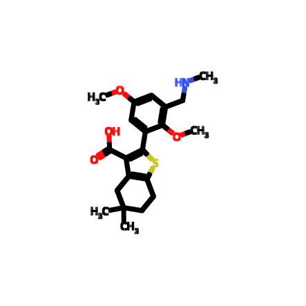 CNCc1cc(OC)cc(-c2sc3c(c2C(=O)O)CC(C)(C)CC3)c1OC